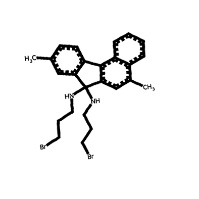 Cc1ccc2c(c1)C(NCCCBr)(NCCCBr)c1cc(C)c3ccccc3c1-2